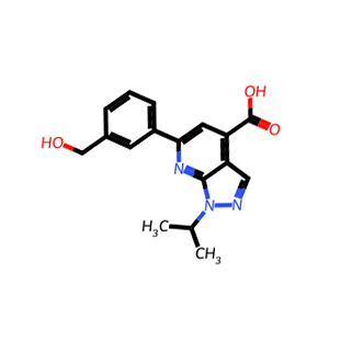 CC(C)n1ncc2c(C(=O)O)cc(-c3cccc(CO)c3)nc21